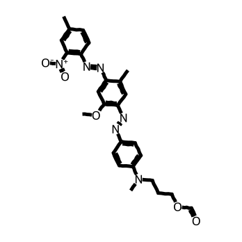 COc1cc(/N=N/c2ccc(C)cc2[N+](=O)[O-])c(C)cc1/N=N/c1ccc(N(C)CCCOC=O)cc1